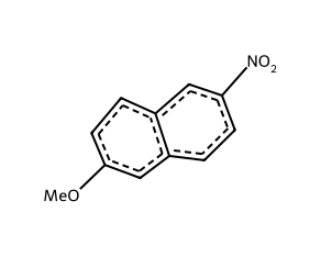 COc1ccc2cc([N+](=O)[O-])ccc2c1